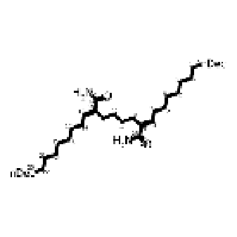 CCCCCCCCCCCCCCCCC/C=C(\CCCC/C(=C\CCCCCCCCCCCCCCCCC)C(N)=O)C(N)=O